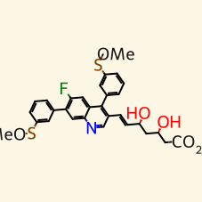 COSc1cccc(-c2cc3ncc(/C=C/[C@@H](O)C[C@@H](O)CC(=O)O)c(-c4cccc(SOC)c4)c3cc2F)c1